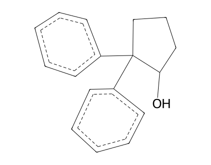 OC1CCCC1(c1ccccc1)c1ccccc1